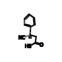 N#C[C@@H](CC(=O)S)c1ccccc1